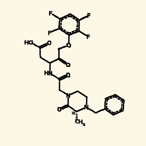 C[C@@H]1C(=O)N(CC(=O)NC(CC(=O)O)C(=O)COc2c(F)c(F)cc(F)c2F)CCN1Cc1ccccc1